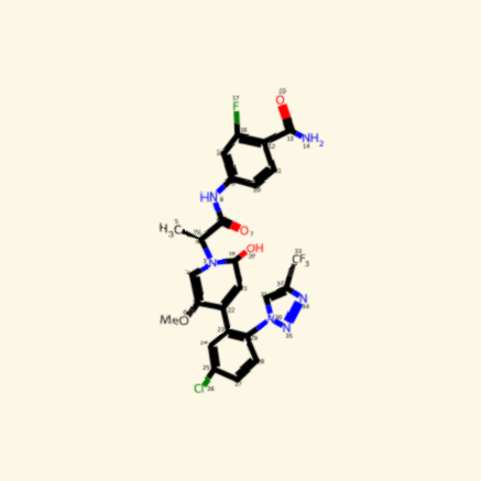 COC1=CN([C@@H](C)C(=O)Nc2ccc(C(N)=O)c(F)c2)C(O)C=C1c1cc(Cl)ccc1-n1cc(C(F)(F)F)nn1